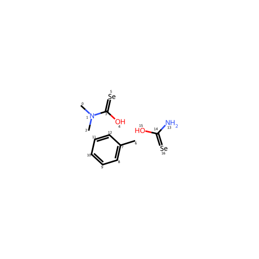 CN(C)C(O)=[Se].Cc1ccccc1.NC(O)=[Se]